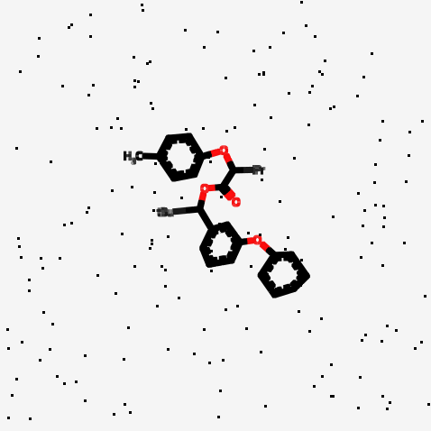 Cc1ccc(OC(C(=O)OC(c2cccc(Oc3ccccc3)c2)C(C)(C)C)C(C)C)cc1